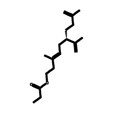 C=C(C)CC[C@@H](C/C=C(\C)CCOC(=O)CC)C(=C)C